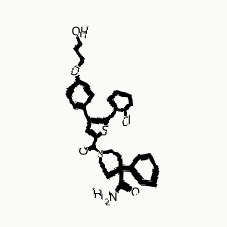 NC(=O)C1(c2ccccc2)CCN(C(=O)c2cc(-c3ccc(OCCCO)cc3)c(-c3ccccc3Cl)s2)CC1